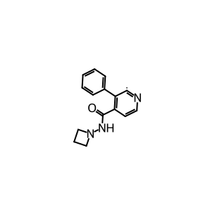 O=C(NN1CCC1)c1ccn[c]c1-c1ccccc1